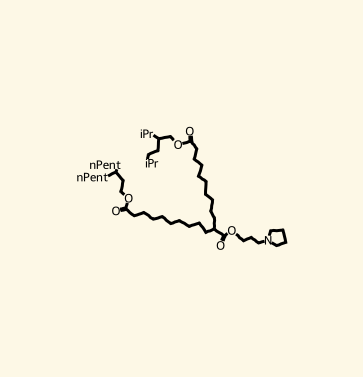 CCCCCC(CCCCC)CCOC(=O)CCCCCCCCCC(CCCCCCCCCC(=O)OCC(CCC(C)C)C(C)C)C(=O)OCCCN1CCCC1